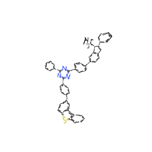 CC1C(c2ccccc2)=Cc2ccc(-c3ccc(-c4nc(-c5ccccc5)nc(-c5ccc(-c6ccc7sc8ccccc8c7c6)cc5)n4)cc3)cc21